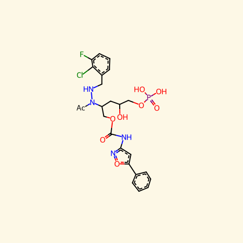 CC(=O)N(NCc1cccc(F)c1Cl)C(COC(=O)Nc1cc(-c2ccccc2)on1)CC(O)COP(=O)(O)O